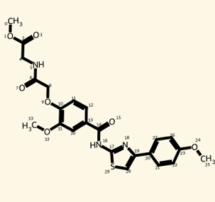 COC(=O)CNC(=O)COc1ccc(C(=O)Nc2nc(-c3ccc(OC)cc3)cs2)cc1OC